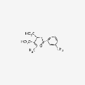 CC=C(C(=O)O)C(CC(=O)c1cccc(C)c1)C(=O)O